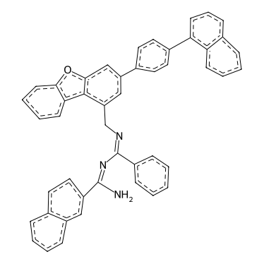 N/C(=N\C(=N/Cc1cc(-c2ccc(-c3cccc4ccccc34)cc2)cc2oc3ccccc3c12)c1ccccc1)c1ccc2ccccc2c1